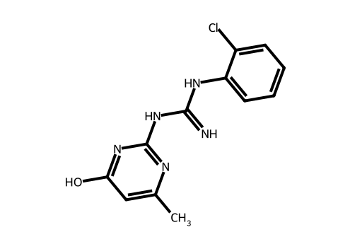 Cc1cc(O)nc(NC(=N)Nc2ccccc2Cl)n1